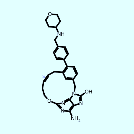 Nc1nc2nc3c1nc(O)n3Cc1ccc(-c3ccc(CNC4CCOCC4)cc3)c(c1)C/C=C\CCO2